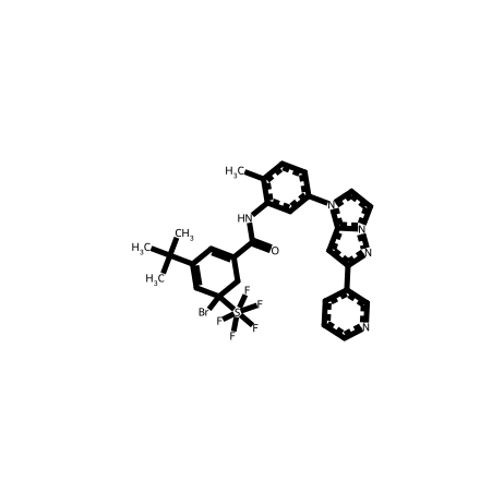 Cc1ccc(-n2ccn3nc(-c4cccnc4)cc23)cc1NC(=O)C1=CC(C(C)(C)C)=CC(Br)(S(F)(F)(F)(F)F)C1